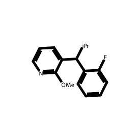 COc1ncccc1C(c1ccccc1F)C(C)C